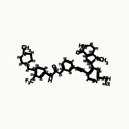 CCNc1ncc(C#Cc2cccc(CC(=O)Nc3ccc(CN4CCN(C)CC4)c(C(F)(F)F)c3)c2)c(-c2cc3c(n2C)CCNC3=O)n1